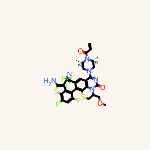 C=CC(=O)N1[C@H](C)CN(c2nc(=O)n3c4c(c(-c5c(F)cc(F)c6sc(N)c(C#N)c56)c(C(F)(F)F)cc24)SCC3COC)C[C@@H]1C